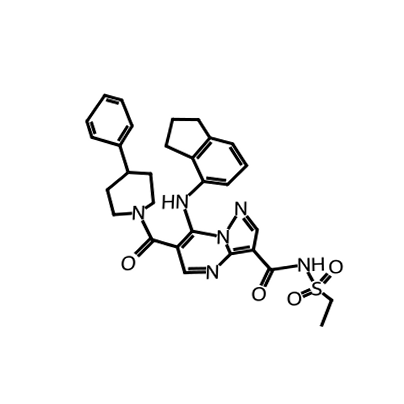 CCS(=O)(=O)NC(=O)c1cnn2c(Nc3cccc4c3CCC4)c(C(=O)N3CCC(c4ccccc4)CC3)cnc12